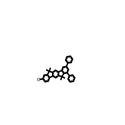 CC1(C)c2cc(Cl)ccc2-c2cc3c(cc21)-c1cc(-c2ccccc2)cc(-c2ccccc2)c1C3(C)C